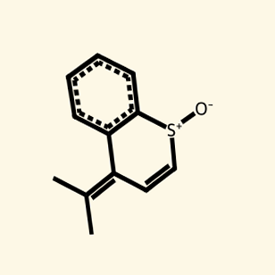 CC(C)=C1C=C[S+]([O-])c2ccccc21